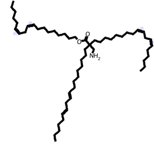 CCCCCC=CCC=CCCCCCCCCC(CN)(CCCCCCCC/C=C\C/C=C\CCCCC)C(=O)OCCCCCCCC/C=C\C/C=C\CCCCC